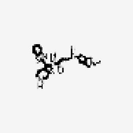 O=C(CCNC1CC2CNCC2C1)Nc1sc2c(c1-c1nc3ccccc3s1)CCNC2